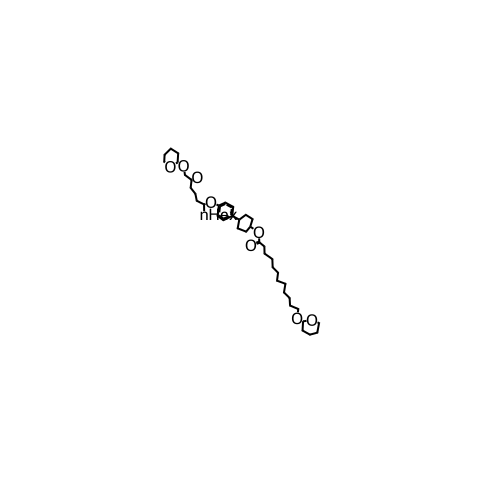 CCCCCCC(CCCC(=O)COC1CCCCO1)Oc1ccc(C2CCC(OC(=O)CCCCCCCCCCCOC3CCCCO3)CC2)cc1